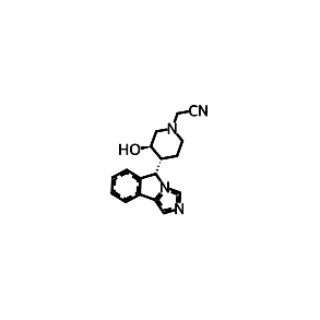 N#CCN1CC[C@H](C2c3ccccc3-c3cncn32)[C@@H](O)C1